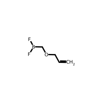 C=CCOCB(F)F